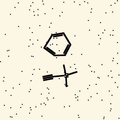 C#C[Si](C)(C)C.c1ccccc1